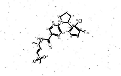 C[C@H](/C=C/S(C)(=O)=O)NC(=O)c1cnc(N2CCC[C@H]2c2cccc(F)c2Cl)cn1